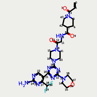 C=CC(=O)N1CCC(C(=O)NCC(=O)N2CCN(c3nc(-c4cnc(N)nc4C(F)F)nc(N4CCOCC4)n3)CC2)CC1